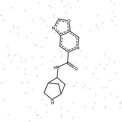 O=C(NC1CC2CC1CN2)c1cc2ncoc2cn1